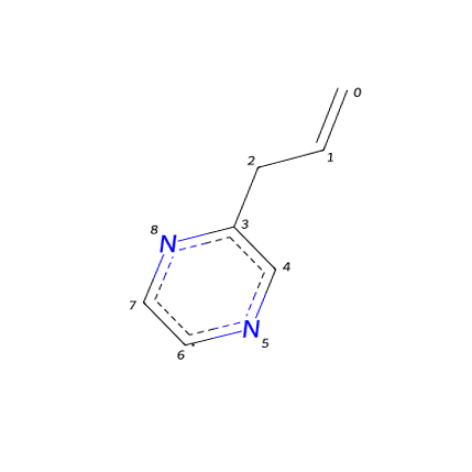 C=CCc1cn[c]cn1